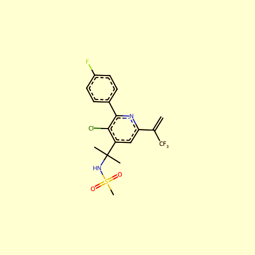 C=C(c1cc(C(C)(C)NS(C)(=O)=O)c(Cl)c(-c2ccc(F)cc2)n1)C(F)(F)F